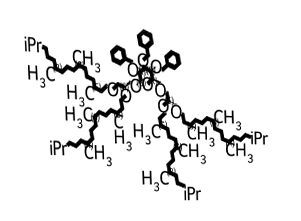 CC(C)CCC[C@@H](C)CCC[C@H](C)CCC[C@H](C)CCOC[C@@H](COC[C@H]1O[C@H](OC[C@H](COCC[C@@H](C)CCC[C@@H](C)CCC[C@H](C)CCCC(C)C)OCC[C@@H](C)CCC[C@@H](C)CCC[C@H](C)CCCC(C)C)[C@H](OCc2ccccc2)[C@@H](OCc2ccccc2)[C@@H]1OCc1ccccc1)OCC[C@@H](C)CCC[C@@H](C)CCC[C@H](C)CCCC(C)C